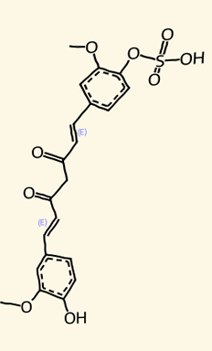 COc1cc(/C=C/C(=O)CC(=O)/C=C/c2ccc(OS(=O)(=O)O)c(OC)c2)ccc1O